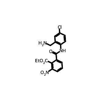 CCOC(=O)c1c(C(=O)Nc2ccc(Cl)cc2CN)cccc1[N+](=O)[O-]